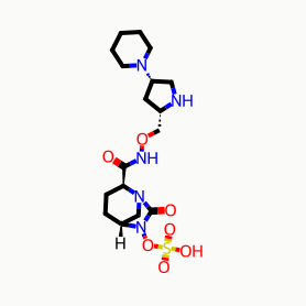 O=C(NOC[C@@H]1C[C@H](N2CCCCC2)CN1)[C@@H]1CC[C@@H]2CN1C(=O)N2OS(=O)(=O)O